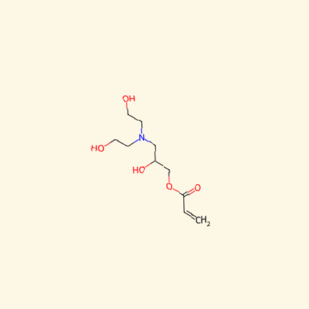 C=CC(=O)OCC(O)CN(CCO)CCO